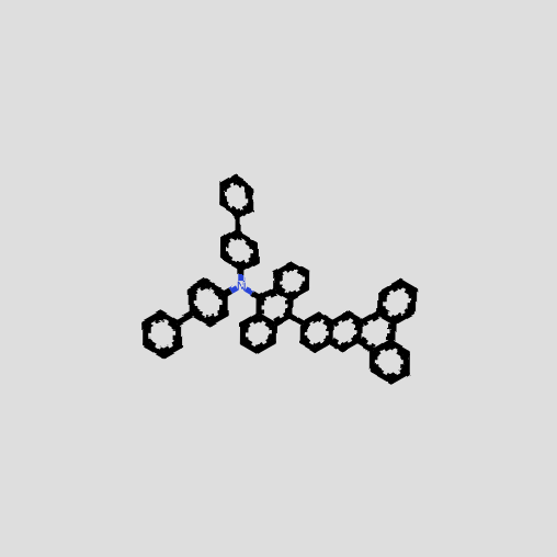 c1ccc(-c2ccc(N(c3ccc(-c4ccccc4)cc3)c3c4ccccc4c(-c4ccc5cc6c7ccccc7c7ccccc7c6cc5c4)c4ccccc34)cc2)cc1